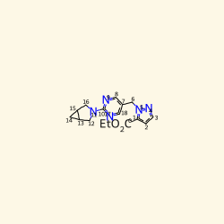 CCOC(=O)c1ccnn1Cc1cnc(N2CC3CC3C2)nc1